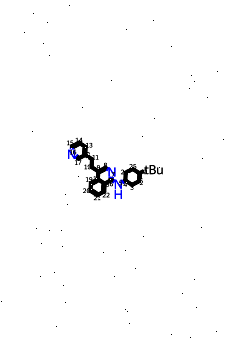 CC(C)(C)C1CCC(Nc2ncc(CCc3cccnc3)c3ccccc23)CC1